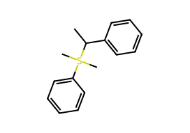 CC(c1ccccc1)S(C)(C)c1ccccc1